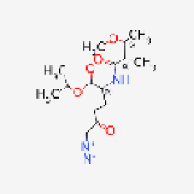 CO[C@@H](C)[C@H](C)C(=O)N[C@@H](CCC(=O)C=[N+]=[N-])C(=O)OC(C)C